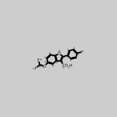 O=C(O)c1c(-c2ccc(F)cc2)oc2ccc(OC(F)F)cc12